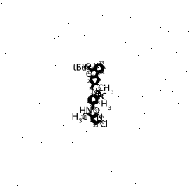 Cc1c(C)n(Cc2ccc(-c3ccccc3C(=O)OC(C)(C)C)cc2)c2ccc(C(=O)N[C@@H](C)c3ccc(Cl)nc3)cc12